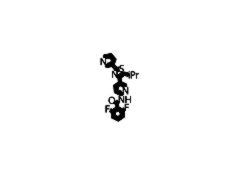 CC(C)c1sc(-c2cccnc2)nc1-c1ccc(NC(=O)c2c(F)cccc2F)nc1